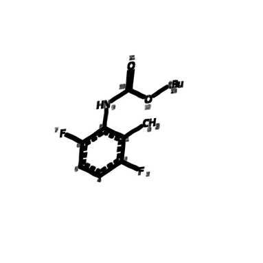 Cc1c(F)ccc(F)c1NC(=O)OC(C)(C)C